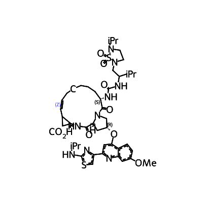 COc1ccc2c(O[C@@H]3C[C@H]4C(=O)N[C@]5(C(=O)O)CC5/C=C\CCCCC[C@H](NC(=O)NC(CN5CCN(C(C)C)S5(=O)=O)C(C)C)C(=O)N4C3)cc(-c3csc(NC(C)C)n3)nc2c1